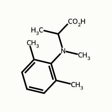 Cc1cccc(C)c1N(C)C(C)C(=O)O